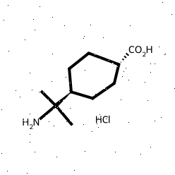 CC(C)(N)[C@H]1CC[C@H](C(=O)O)CC1.Cl